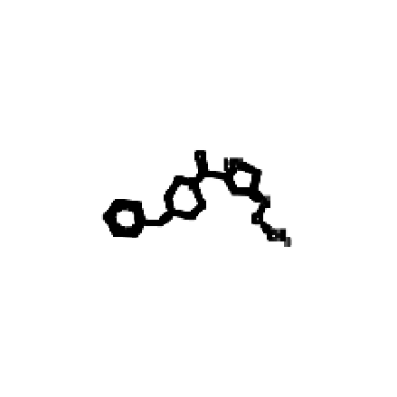 CON=C1CNC(C(=O)N2CCC(Cc3ccccc3)CC2)C1